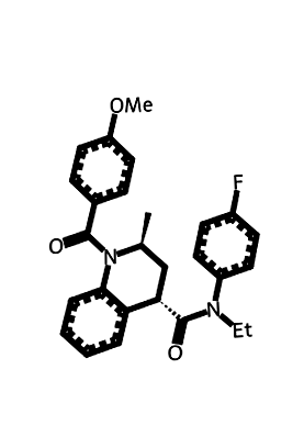 CCN(C(=O)[C@H]1C[C@H](C)N(C(=O)c2ccc(OC)cc2)c2ccccc21)c1ccc(F)cc1